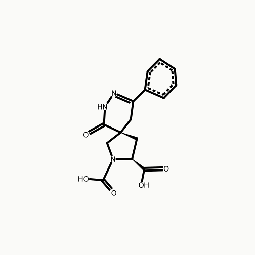 O=C(O)[C@@H]1C[C@@]2(CC(c3ccccc3)=NNC2=O)CN1C(=O)O